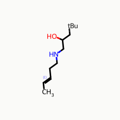 C/C=C/CCNCC(O)CC(C)(C)C